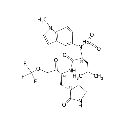 CC(C)C[C@@H](C(=O)N[C@@H](C[C@@H]1CCNC1=O)C(=O)COC(F)(F)F)N(c1ccc2c(ccn2C)c1)[SH](=O)=O